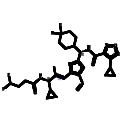 C=Nn1cc([C@@H](NC(=O)c2nonc2C2CC2)C2CCC(F)(F)CC2)nc1/C=C(\C)[C@H](NC(=O)CCC(F)F)C1CC1